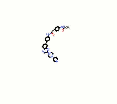 CC(=O)Nc1ccc(CC(=O)Nc2ccc(-c3ccc4ncc(N5CCN(c6ccncc6)CC5)nc4c3)cc2)cc1